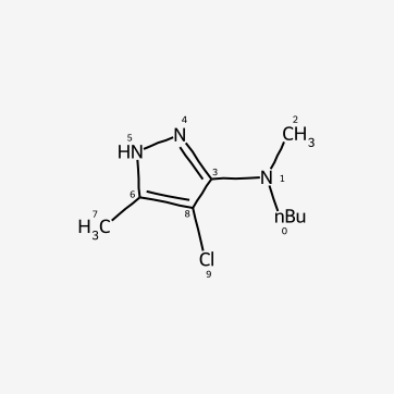 CCCCN(C)c1n[nH]c(C)c1Cl